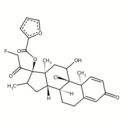 CC1C[C@H]2[C@@H]3CCC4=CC(=O)C=C[C@]4(C)[C@@]3(Cl)C(O)C[C@]2(C)[C@@]1(OC(=O)c1ccco1)C(=O)CF